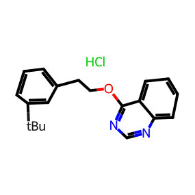 CC(C)(C)c1cccc(CCOc2ncnc3ccccc23)c1.Cl